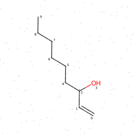 C=C[C](O)CCCCCC